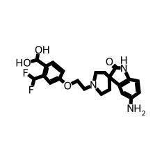 Nc1ccc2c(c1)C1(CCN(CCOc3ccc(C(O)O)c(C(F)F)c3)CC1)C(=O)N2